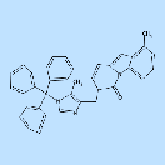 Cc1cccc2c1cc1n2C(=O)C(Cc2ncn(C(c3ccccc3)(c3ccccc3)c3ccccc3)c2C)C=C1